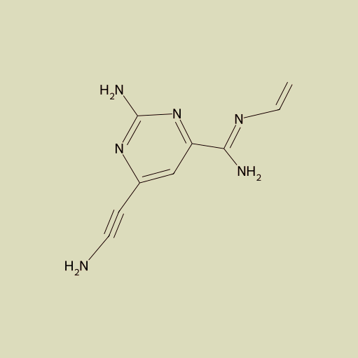 C=C/N=C(\N)c1cc(C#CN)nc(N)n1